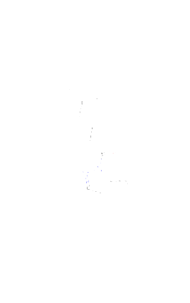 Cc1cc(C)n(C(=O)C/C=C/C(C)C)n1